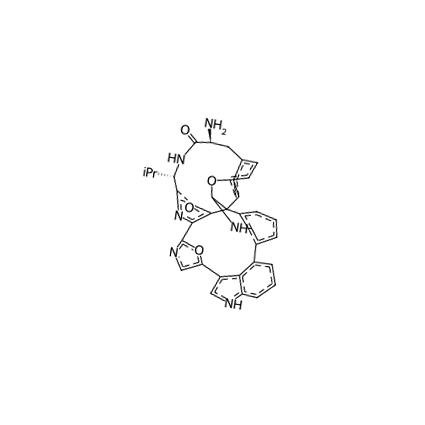 CC(C)[C@@H]1NC(=O)[C@@H](N)Cc2ccc3c(c2)C24c5cccc(c5NC2O3)-c2cccc3[nH]cc(c23)-c2cnc(o2)-c2nc1oc24